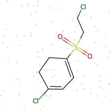 O=S(=O)(CCCl)C1=CC=C(Cl)[CH]C1